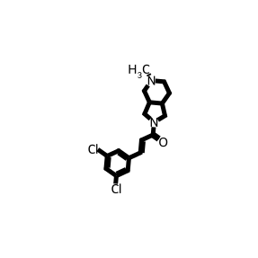 CN1CCC2CN(C(=O)/C=C/c3cc(Cl)cc(Cl)c3)CC2C1